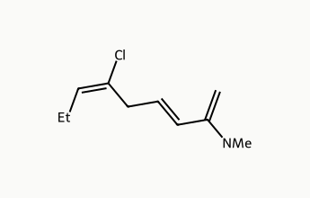 C=C(/C=C/C/C(Cl)=C\CC)NC